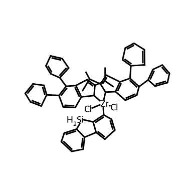 CC(C)C1=Cc2c(ccc(-c3ccccc3)c2-c2ccccc2)[CH]1[Zr]([Cl])([Cl])([c]1cccc2c1[SiH2]c1ccccc1-2)[CH]1C(C(C)C)=Cc2c1ccc(-c1ccccc1)c2-c1ccccc1